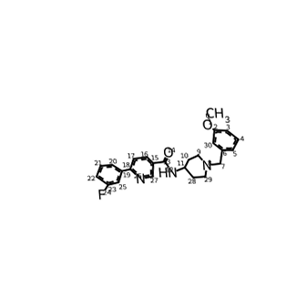 COc1cccc(CN2CCC(NC(=O)c3ccc(-c4cccc(F)c4)nc3)CC2)c1